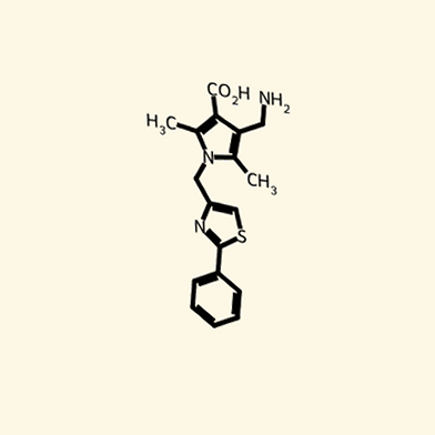 Cc1c(CN)c(C(=O)O)c(C)n1Cc1csc(-c2ccccc2)n1